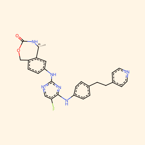 C[C@H]1NC(=O)OCc2ccc(Nc3ncc(F)c(Nc4ccc(CCc5ccncc5)cc4)n3)cc21